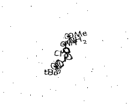 COC(=O)C(N)CNC(=O)c1ccc(OCCC2CCN(C(=O)OC(C)(C)C)CC2)c(Cl)c1